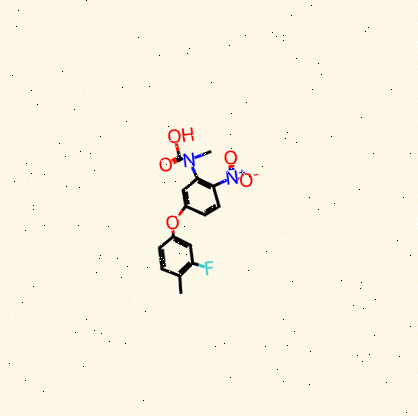 Cc1ccc(Oc2ccc([N+](=O)[O-])c(N(C)C(=O)O)c2)cc1F